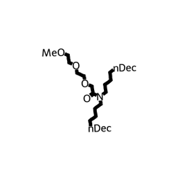 CCCCCCCCCCCCCCN(CCCCCCCCCCCCCC)C(=O)COCCOCCOC